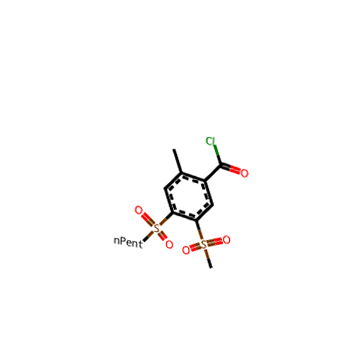 CCCCCS(=O)(=O)c1cc(C)c(C(=O)Cl)cc1S(C)(=O)=O